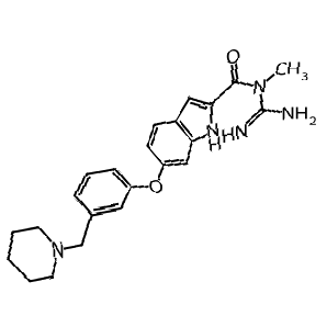 CN(C(=N)N)C(=O)c1cc2ccc(Oc3cccc(CN4CCCCC4)c3)cc2[nH]1